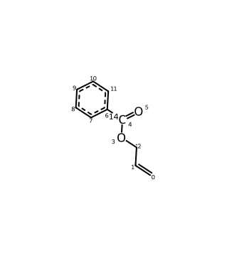 C=C[CH]O[14C](=O)c1ccccc1